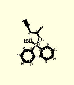 C#CCC(C)O[Si](c1ccccc1)(c1ccccc1)C(C)(C)C